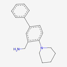 NCc1cc(-c2ccccc2)ccc1N1CCCCC1